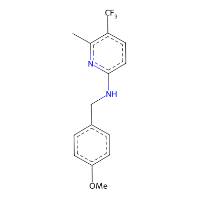 COc1ccc(CNc2ccc(C(F)(F)F)c(C)n2)cc1